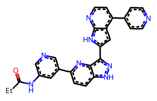 CCC(=O)Nc1cncc(-c2ccc3[nH]nc(-c4cc5c(-c6ccncc6)ccnc5[nH]4)c3n2)c1